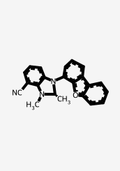 C[C@H]1N(C)c2c(C#N)cccc2N1c1cccc2c1oc1ccccc12